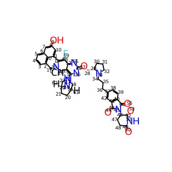 C#Cc1cccc2cc(O)cc(-c3ncc4c(N5C[C@H]6CC[C@@H](C5)N6)nc(OC[C@@H]5CCCN5CCCc5ccc6c(c5)C(=O)N(C5CCC(=O)NC5=O)C6=O)nc4c3F)c12